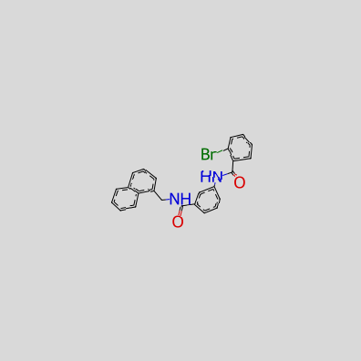 O=C(NCc1cccc2ccccc12)c1cccc(NC(=O)c2ccccc2Br)c1